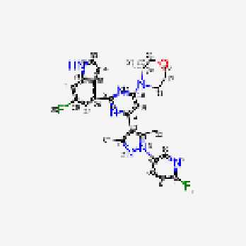 Cc1nn(-c2ccc(F)nc2)c(C)c1-c1cc(N2CCOC[C@H]2C)nc(-c2cc(F)cc3[nH]ccc23)n1